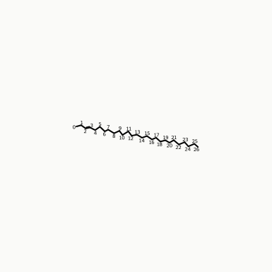 CCC=CCCCCCCCCCCCCCCCCCCCCCCC